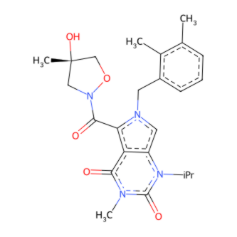 Cc1cccc(Cn2cc3c(c2C(=O)N2C[C@](C)(O)CO2)c(=O)n(C)c(=O)n3C(C)C)c1C